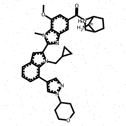 COc1cc(C(=O)N2CC3CCC2[C@@H]3N)cc2nc(-c3cc4cccc(-c5cnn(C6CCOCC6)c5)c4n3CC3CC3)n(C)c12